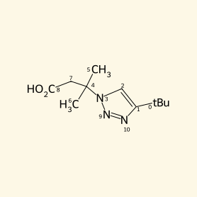 CC(C)(C)c1cn(C(C)(C)CC(=O)O)nn1